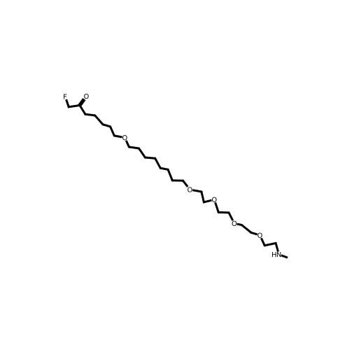 CNCCOCCOCCOCCOCCCCCCCCOCCCCCC(=O)CF